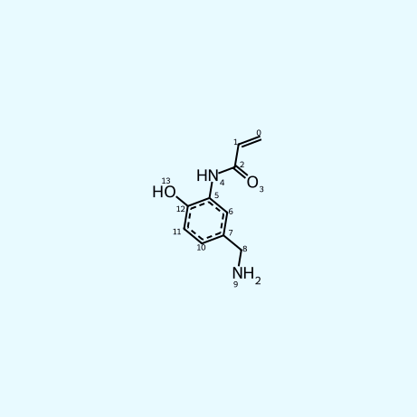 C=CC(=O)Nc1cc(CN)ccc1O